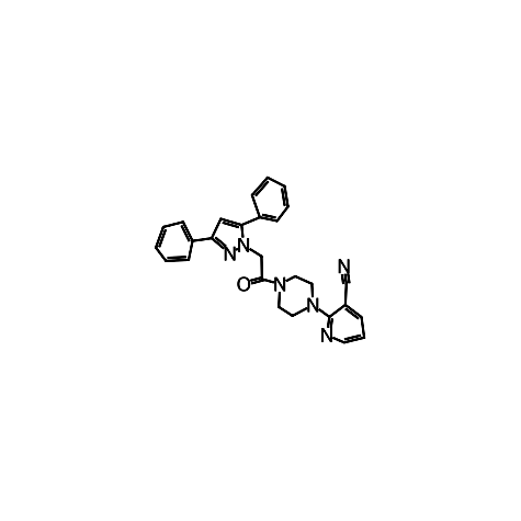 N#Cc1cccnc1N1CCN(C(=O)Cn2nc(-c3ccccc3)cc2-c2ccccc2)CC1